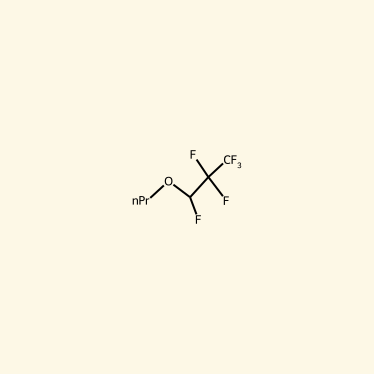 CCCOC(F)C(F)(F)C(F)(F)F